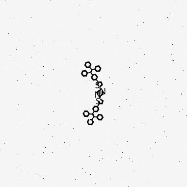 c1ccc(C(=C(c2ccccc2)c2ccc(-c3ccc(-c4cnc(-c5ccc(-c6ccc(C(=C(c7ccccc7)c7ccccc7)c7ccccc7)cc6)s5)cn4)s3)cc2)c2ccccc2)cc1